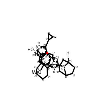 COc1cc(C(=O)O)cc2sc(N3C4CC[C@H]3C[C@H](OCc3c(C5CCCCC5C)noc3C3CC3)C4)nc12